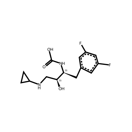 O=C(O)N[C@@H](Cc1cc(F)cc(F)c1)[C@@H](O)CNC1CC1